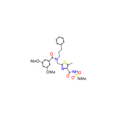 CNS(=O)(=O)NC(=O)c1nc(CN(CCCc2ccccc2)C(=O)c2cc(OC)cc(OC)c2)sc1C